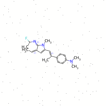 C/C=C1C=C(/C=C(\C)c2ccc(N(C)C)cc2)N(C)C/1=N/C(C)F